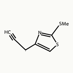 C#C[CH]c1csc(SC)n1